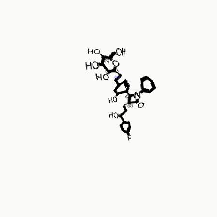 O=C1[C@H](CC[C@H](O)c2ccc(F)cc2)[C@@H](c2ccc(/C=C/[C@@H]3OC(CO)[C@@H](O)C(O)[C@@H]3O)cc2O)N1c1ccccc1